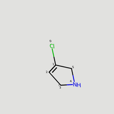 ClC1=C[C]NC1